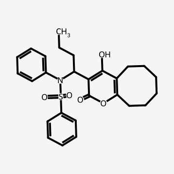 CCCC(c1c(O)c2c(oc1=O)CCCCCC2)N(c1ccccc1)S(=O)(=O)c1ccccc1